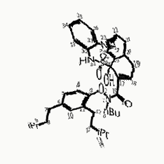 CCCCN(Oc1ccc(CCC(C)C)cc1CCC(C)C)C(=O)C1=CCc2ccccc2C1(O)S(=O)(=O)Nc1ccccc1N